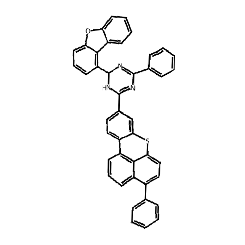 c1ccc(C2=NC(c3cccc4oc5ccccc5c34)NC(c3ccc4c(c3)Sc3ccc(-c5ccccc5)c5cccc-4c35)=N2)cc1